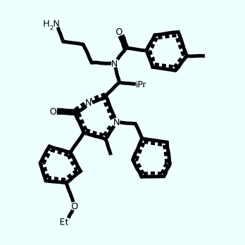 CCOc1cccc(-c2c(C)n(Cc3ccccc3)c(C(C(C)C)N(CCCN)C(=O)c3ccc(C)cc3)nc2=O)c1